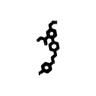 CCC(=O)c1cc(CO)ccc1N1CCN(CCOc2ccc(F)cc2)CC1